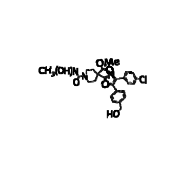 COC(=O)C1(c2nc(-c3ccc(Cl)cc3)c(-c3ccc(CO)cc3)o2)CCN(C(=O)N(C)O)CC1